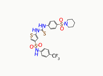 O=S(=O)(Nc1ccc(C(F)(F)F)cc1)c1csc(NC(=S)Nc2ccc(S(=O)(=O)N3CCCCC3)cc2)c1